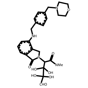 CNC(=O)C(N1Cc2c(NCc3ccc(CN4CCOCC4)cc3)cccc2C1=O)C(O)(O)C(O)(O)C=O